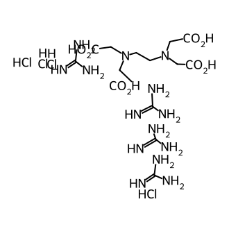 Cl.Cl.Cl.Cl.N=C(N)N.N=C(N)N.N=C(N)N.N=C(N)N.O=C(O)CN(CCN(CC(=O)O)CC(=O)O)CC(=O)O